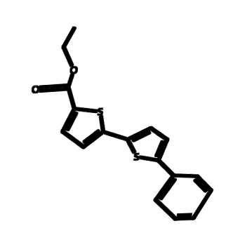 CCOC(=O)c1ccc(-c2ccc(-c3ccccc3)s2)s1